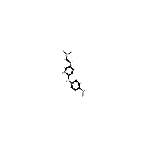 CSc1ccc(Oc2ccc(/N=C/N(C)C)cn2)cc1